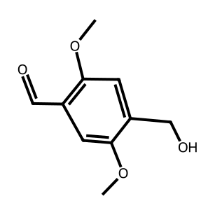 COc1cc(CO)c(OC)cc1C=O